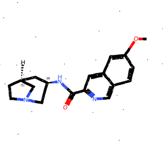 COc1ccc2cnc(C(=O)N[C@@H]3C[C@@H]4CCN(C4)C3)cc2c1